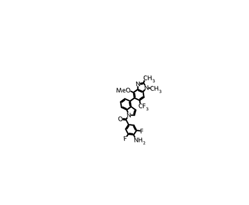 COc1c(-c2cccc3c2ccn3C(=O)c2cc(F)c(N)c(F)c2)c(C(F)(F)F)cc2c1nc(C)n2C